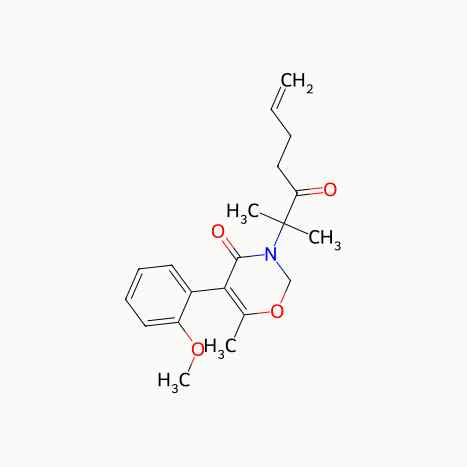 C=CCCC(=O)C(C)(C)N1COC(C)=C(c2ccccc2OC)C1=O